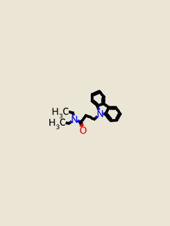 CCN(CC)C(=O)CCn1c2ccccc2c2ccccc21